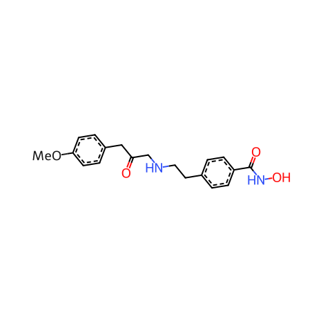 COc1ccc(CC(=O)CNCCc2ccc(C(=O)NO)cc2)cc1